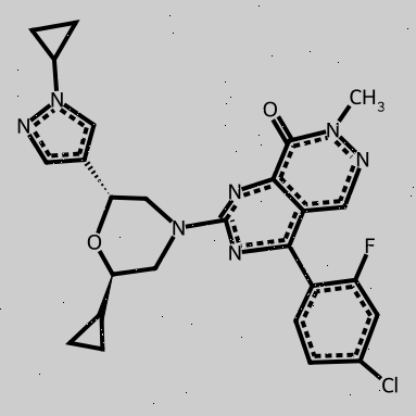 Cn1ncc2c(-c3ccc(Cl)cc3F)nc(N3C[C@@H](c4cnn(C5CC5)c4)O[C@H](C4CC4)C3)nc2c1=O